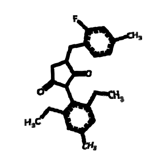 CCc1cc(C)cc(CC)c1C1C(=O)CC(Cc2ccc(C)cc2F)C1=O